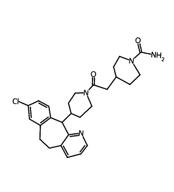 NC(=O)N1CCC(CC(=O)N2CCC(C3c4ccc(Cl)cc4CCc4cccnc43)CC2)CC1